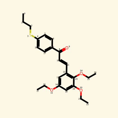 CCCSc1ccc(C(=O)/C=C/c2cc(OCC)cc(OCC)c2OCC)cc1